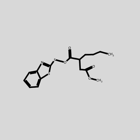 CCCCC(CC(=O)OC)C(=O)OSc1nc2ccccc2s1